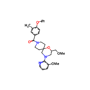 COCC1CN(c2ncccc2OC)CC2(CCN(C(=O)c3ccc(OC(C)C)c(C)c3)CC2)O1